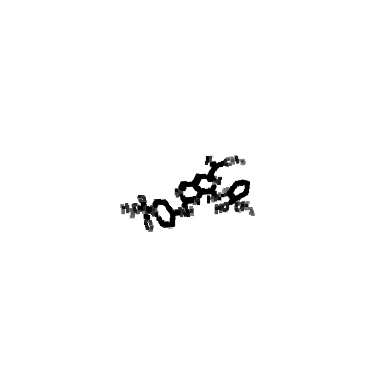 CC(F)c1cc2cnc(NC3CCN(S(C)(=O)=O)CC3)nc2c(N[C@@H]2CCC[C@@]2(C)O)n1